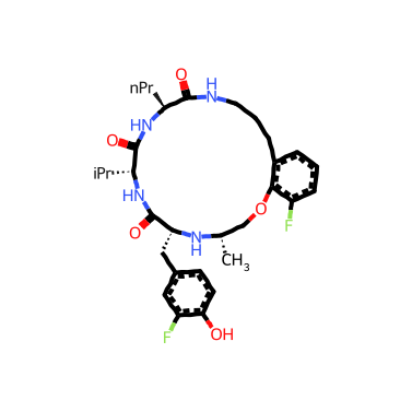 CCC[C@@H]1NC(=O)[C@@H](C(C)C)NC(=O)[C@@H](Cc2ccc(O)c(F)c2)N[C@@H](C)COc2c(F)cccc2CCCNC1=O